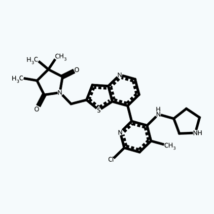 Cc1cc(Cl)nc(-c2ccnc3cc(CN4C(=O)C(C)C(C)(C)C4=O)sc23)c1NC1CCNC1